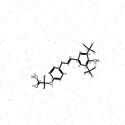 CC(C)(Oc1ccc(CC=Cc2cc(C(C)(C)C)c(O)c(C(C)(C)C)c2)cc1)C(=O)O